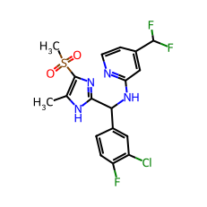 Cc1[nH]c(C(Nc2cc(C(F)F)ccn2)c2ccc(F)c(Cl)c2)nc1S(C)(=O)=O